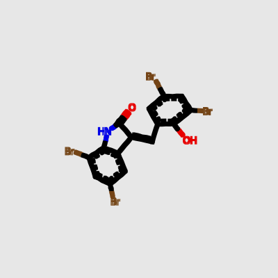 O=C1Nc2c(Br)cc(Br)cc2C1=Cc1cc(Br)cc(Br)c1O